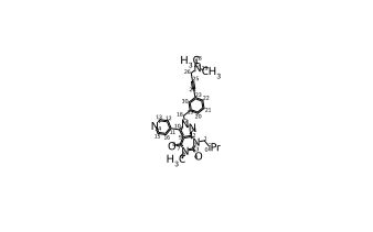 CC(C)Cn1c(=O)n(C)c(=O)c2c(-c3ccncc3)n(Cc3cccc(C#CCN(C)C)c3)nc21